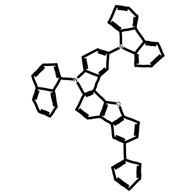 c1ccc(-c2ccc3oc4c(ccc5c4c4cc(-n6c7ccccc7c7ccccc76)ccc4n5-c4cccc5ccccc45)c3c2)cc1